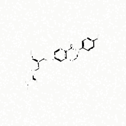 CC(C)(C)OC(=O)NC/C(=C/F)COc1ccc2c(c1)CCN(c1ccc(F)cc1)C2=O